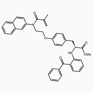 C=C(C)C(=O)N(CCOc1ccc(C[C@H](Nc2ccccc2C(=O)c2ccccc2)C(=O)OC)cc1)c1ccc2ccccc2c1